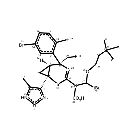 Cc1[nH]nnc1[C@]12C[C@H]1[C@@](CF)(c1cc(Br)ccc1F)N=C(N(C(=O)O)C(OCC[Si](C)(C)C)C(C)(C)C)S2